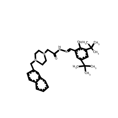 CC(C)(C)c1cc(/C=N/NC(=O)CN2CCN(Cc3ccc4ccccc4c3)CC2)c(O)c(C(C)(C)C)c1